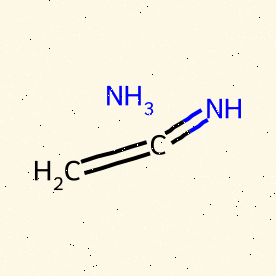 C=C=N.N